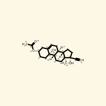 C#C[C@]1(O)CC[C@H]2[C@@H]3CC=C4C[C@@H](OC(C)=O)CC[C@]4(C)[C@H]3CC[C@@]21C